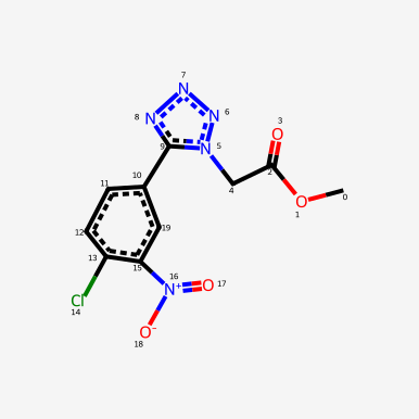 COC(=O)Cn1nnnc1-c1ccc(Cl)c([N+](=O)[O-])c1